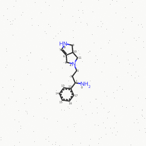 NC(CCN1CC2=CNCC2C1)c1ccccc1